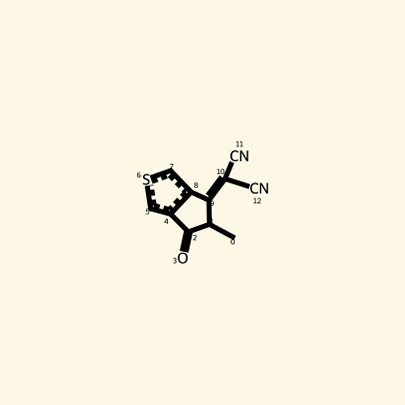 CC1C(=O)c2cscc2C1=C(C#N)C#N